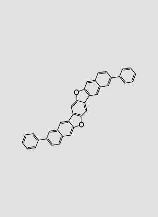 c1ccc(-c2ccc3cc4oc5cc6c(cc5c4cc3c2)oc2cc3ccc(-c4ccccc4)cc3cc26)cc1